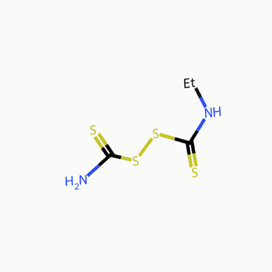 CCNC(=S)SSC(N)=S